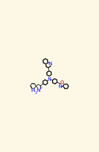 CC1(C/C(=C\N)c2ccc(N(c3ccc(-c4cnc5ccccc5c4)cc3)c3ccc(-c4nc5ccccc5o4)cc3)cc2)C=CC=CC1